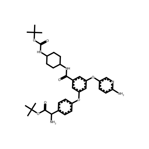 CC(C)(C)OC(=O)NC1CCC(NC(=O)c2cc(Oc3ccc(C(N)C(=O)OC(C)(C)C)cc3)cc(Oc3ccc(N)nc3)c2)CC1